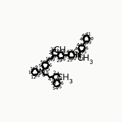 C\C=C/C(=C\C=C\N(c1ccccc1)c1ccc(C/C=C(\C=C/C)c2ccc(-c3ccc(N(C)c4ccc(-c5ccccc5)cc4)cc3)cc2)cc1)C1=CCCC=C1